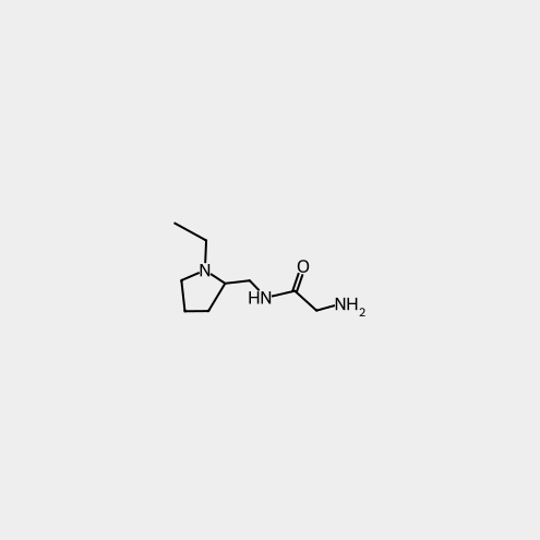 CCN1CCCC1CNC(=O)CN